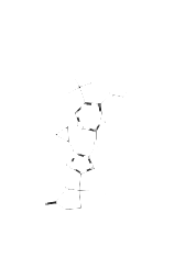 CCNc1nc(Nc2cc(C3(C)CCC(=O)N3)nn2C2CC2)ncc1C(F)(F)F